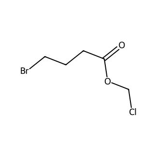 O=C(CCCBr)OCCl